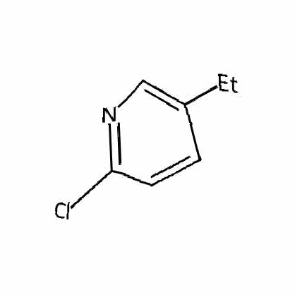 CCc1ccc(Cl)nc1